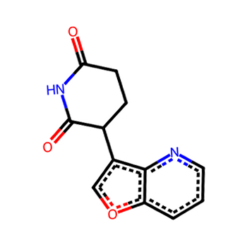 O=C1CCC(c2coc3cccnc23)C(=O)N1